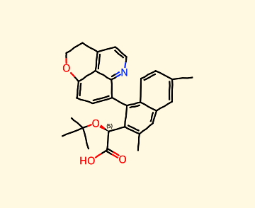 Cc1ccc2c(-c3ccc4c5c(ccnc35)CCO4)c([C@H](OC(C)(C)C)C(=O)O)c(C)cc2c1